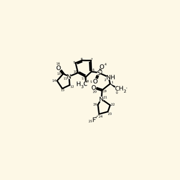 [CH2][C@H](NS(=O)(=O)c1cccc(N2CCCC2=O)c1C)C(=O)N1CC[C@H](F)C1